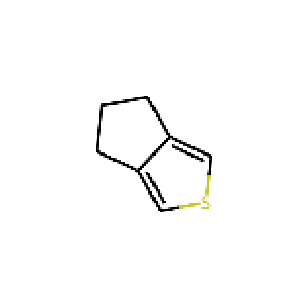 c1scc2c1CCC2